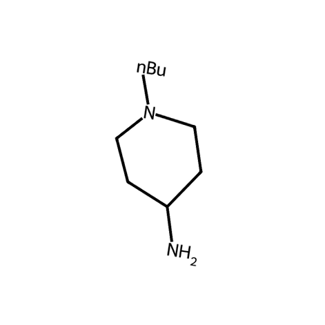 [CH2]CCCN1CCC(N)CC1